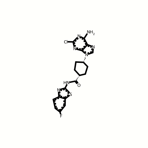 Nc1nc(Cl)nc2c1ncn2[C@H]1CC[C@@H](C(=O)Nc2nc3ccc(F)cc3s2)CC1